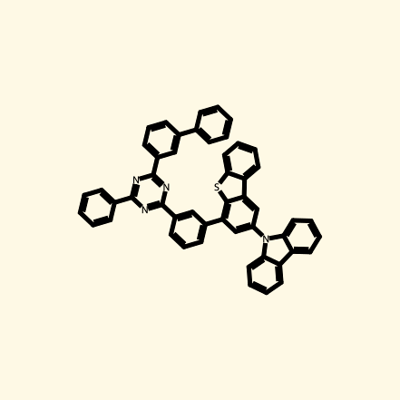 c1ccc(-c2cccc(-c3nc(-c4ccccc4)nc(-c4cccc(-c5cc(-n6c7ccccc7c7ccccc76)cc6c5sc5ccccc56)c4)n3)c2)cc1